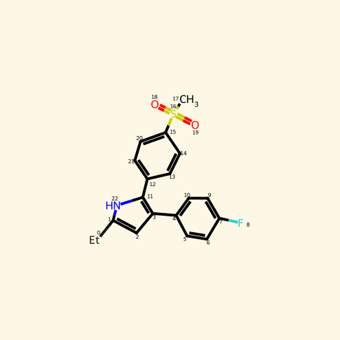 CCc1cc(-c2ccc(F)cc2)c(-c2ccc(S(C)(=O)=O)cc2)[nH]1